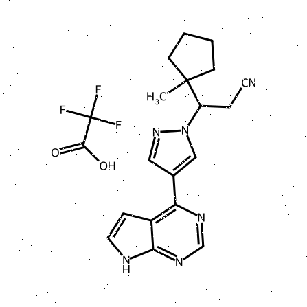 CC1(C(CC#N)n2cc(-c3ncnc4[nH]ccc34)cn2)CCCC1.O=C(O)C(F)(F)F